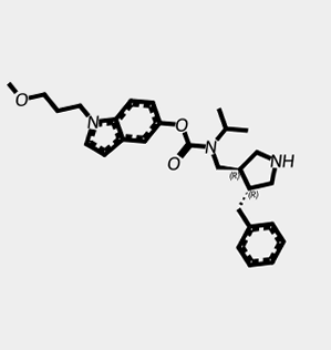 COCCCn1ccc2cc(OC(=O)N(C[C@H]3CNC[C@@H]3Cc3ccccc3)C(C)C)ccc21